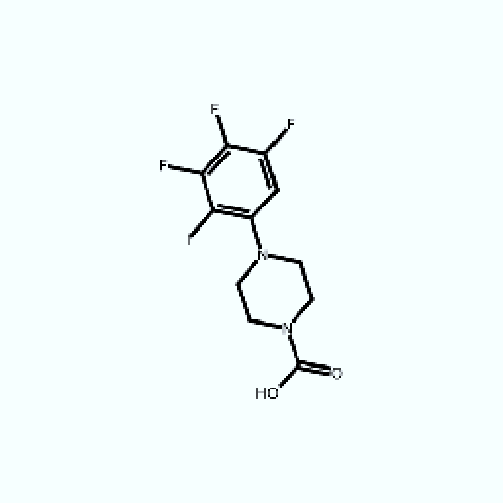 O=C(O)N1CCN(c2cc(F)c(F)c(F)c2I)CC1